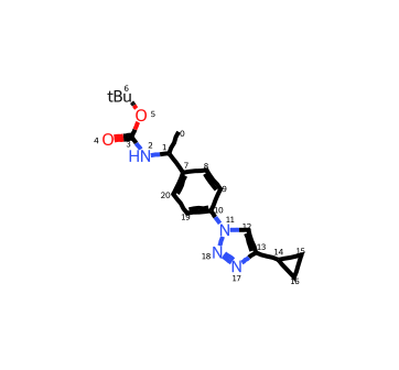 CC(NC(=O)OC(C)(C)C)c1ccc(-n2cc(C3CC3)nn2)cc1